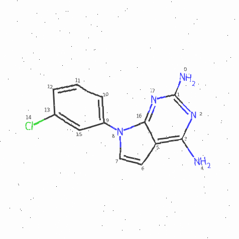 Nc1nc(N)c2ccn(-c3cccc(Cl)c3)c2n1